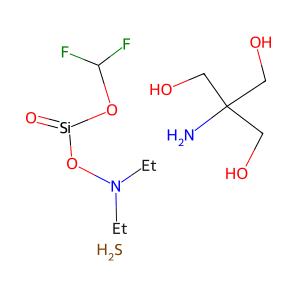 CCN(CC)O[Si](=O)OC(F)F.NC(CO)(CO)CO.S